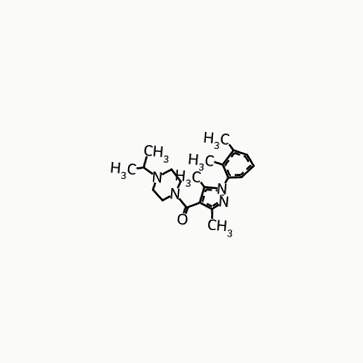 Cc1cccc(-n2nc(C)c(C(=O)N3CCN(C(C)C)CC3)c2C)c1C